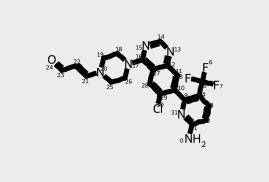 Nc1ccc(C(F)(F)F)c(-c2cc3ncnc(N4CCN(C=CC=O)CC4)c3cc2Cl)n1